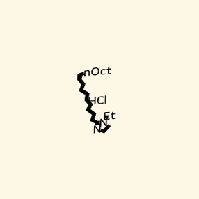 CCCCCCCC/C=C\CCCCCCCCC1=NCCN1CC.Cl